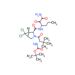 CCCC(NC(=O)[C@@H]1[C@@H]2C(CN1C(=O)[C@@H](NC(=O)OC(C)(C)C)C(C)(C)C)C2(Cl)Cl)C(=O)C(N)=O